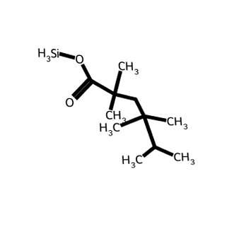 CC(C)C(C)(C)CC(C)(C)C(=O)O[SiH3]